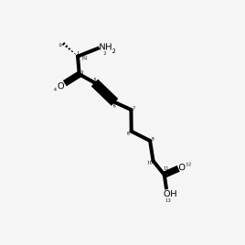 C[C@H](N)C(=O)C#CCCCCC(=O)O